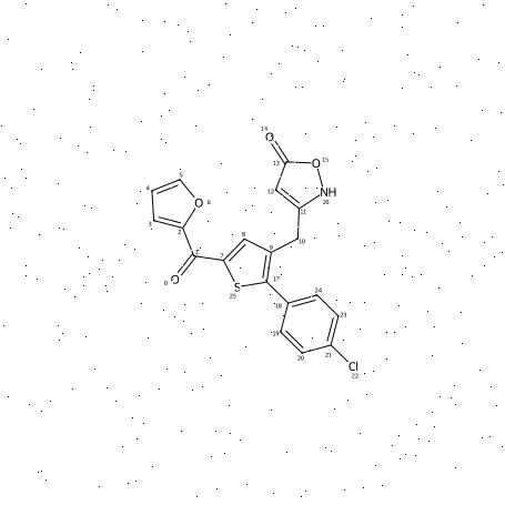 O=C(c1ccco1)c1cc(Cc2cc(=O)o[nH]2)c(-c2ccc(Cl)cc2)s1